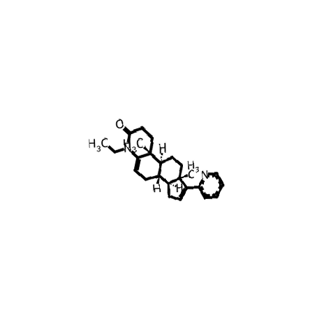 CCN1C(=O)CC[C@@]2(C)C1=CC[C@@H]1[C@@H]2CC[C@]2(C)C(c3ccccn3)=CC[C@@H]12